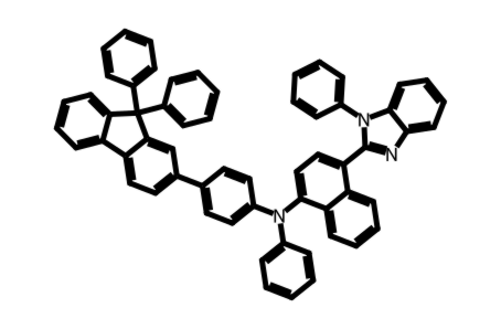 c1ccc(N(c2ccc(-c3ccc4c(c3)C(c3ccccc3)(c3ccccc3)c3ccccc3-4)cc2)c2ccc(-c3nc4ccccc4n3-c3ccccc3)c3ccccc23)cc1